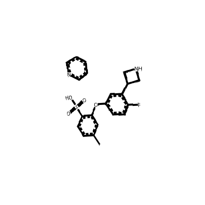 Cc1ccc(S(=O)(=O)O)c(Oc2ccc(F)c(C3CNC3)c2)c1.c1ccncc1